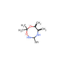 C=C1NC(CCC)NOC(C)(C)OC1=C